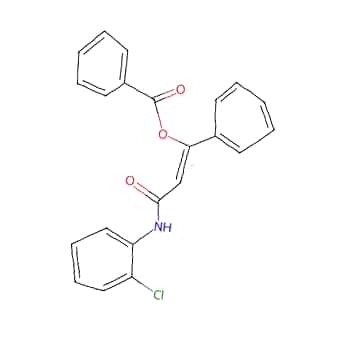 O=C(/C=C(\OC(=O)c1ccccc1)c1ccccc1)Nc1ccccc1Cl